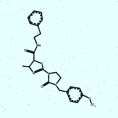 CC1N=C(N2CCN(Cc3ccc(OC(F)(F)F)cc3)C2=O)SC1C(=O)NCCc1ccccc1